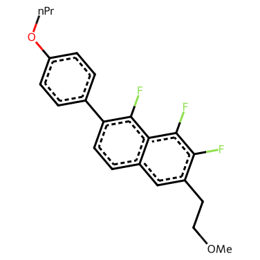 CCCOc1ccc(-c2ccc3cc(CCOC)c(F)c(F)c3c2F)cc1